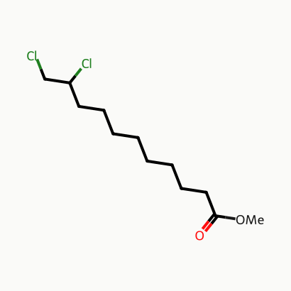 COC(=O)CCCCCCCCC(Cl)CCl